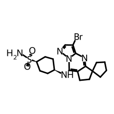 NS(=O)(=O)[C@H]1CC[C@@H](Nc2c3c(nc4c(Br)cnn24)C2(CCCC2)CC3)CC1